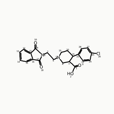 O=C(O)C1CN(CCN2C(=O)c3ccccc3C2=O)CCC1c1ccc(Cl)cc1